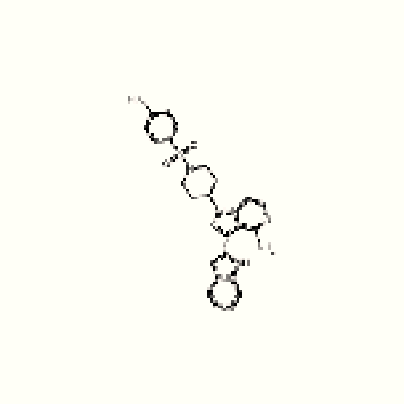 Cc1ccc(S(=O)(=O)N2CCC(c3nc(-c4cc5ccccc5[nH]4)c4c(N)nccn34)CC2)cc1